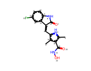 Cc1[nH]c(/C=C2\C(=O)Nc3ccc(F)cc32)c(C)c1C(=O)NO